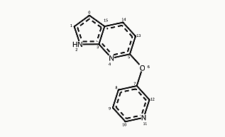 [c]1c[nH]c2nc(Oc3cccnc3)ccc12